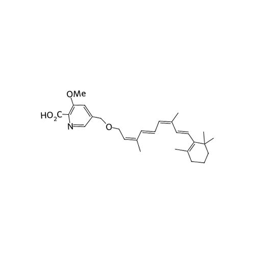 COc1cc(COCC=C(C)C=CC=C(C)C=CC2=C(C)CCCC2(C)C)cnc1C(=O)O